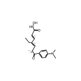 CCC(/C=C/C(=O)NO)=C\[C@@H](C)C(=O)c1ccc(N(C)C)cc1